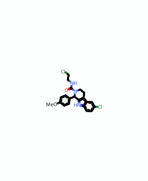 COc1ccc(C2c3[nH]c4ccc(Cl)cc4c3CCN2C(=O)NCCCl)cc1